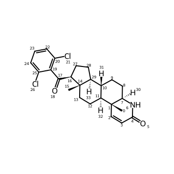 C[C@]12C=CC(=O)N[C@@H]1CC[C@@H]1[C@@H]2CC[C@]2(C)[C@@H](C(=O)c3c(Cl)cccc3Cl)CC[C@@H]12